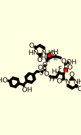 O=c1ccn([C@@H]2O[C@@H]3COP(=O)(SCc4ccc(C(O)c5ccc(O)cc5)cc4)O[C@@H]4[C@H](F)[C@@H](COP(=O)(O)O[C@@H]2[C@@H]3F)O[C@H]4n2ccc(=O)[nH]c2=O)c(=O)[nH]1